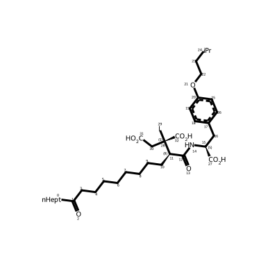 CCCCCCCC(=O)CCCCCCCC[C@H](C(=O)N[C@@H](Cc1ccc(OCCC(C)C)cc1)C(=O)O)[C@@](I)(CC(=O)O)C(=O)O